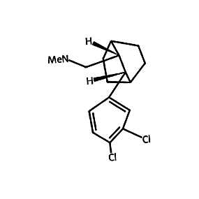 CNC[C@@H]1C2CCC(CC2)[C@@H]1c1ccc(Cl)c(Cl)c1